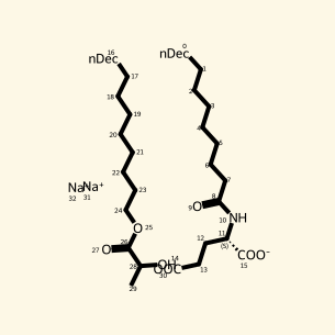 CCCCCCCCCCCCCCCCCC(=O)N[C@@H](CCC(=O)[O-])C(=O)[O-].CCCCCCCCCCCCCCCCCCOC(=O)C(C)O.[Na+].[Na+]